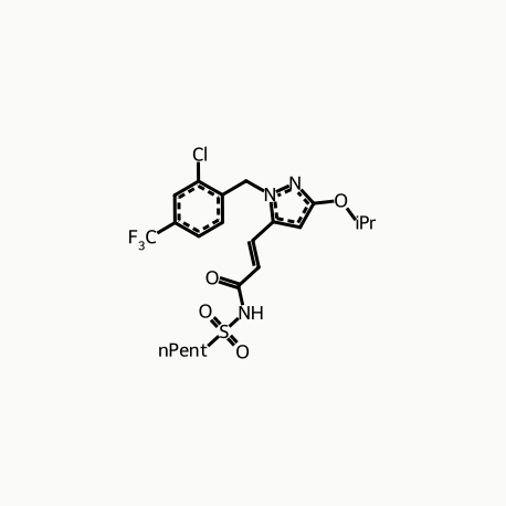 CCCCCS(=O)(=O)NC(=O)C=Cc1cc(OC(C)C)nn1Cc1ccc(C(F)(F)F)cc1Cl